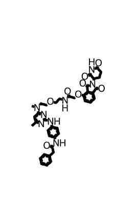 Cc1cc(N(C)CCOCCNC(=O)COc2cccc3c2C(=O)N(C2CCC(=O)NC2=O)C3=O)nc(Nc2ccc(NC(=O)Cc3ccccc3)cc2)n1